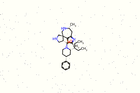 CCC(CC)[C@@H]1C[C@H](c2ccccc2)CCN1C(=O)[C@@H]1CNC[C@]12CN[C@H](C)Cc1nc(C)sc12